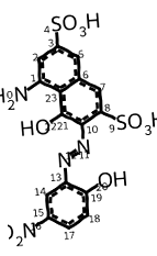 Nc1cc(S(=O)(=O)O)cc2cc(S(=O)(=O)O)c(N=Nc3cc([N+](=O)[O-])ccc3O)c(O)c12